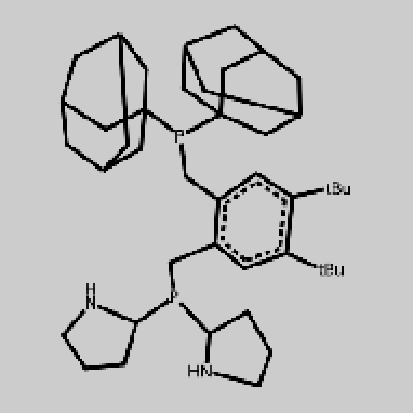 CC(C)(C)c1cc(CP(C2CCCN2)C2CCCN2)c(CP(C23CC4CC(CC(C4)C2)C3)C23CC4CC(CC(C4)C2)C3)cc1C(C)(C)C